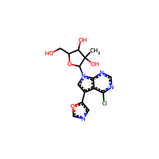 CC1(O)C(O)C(CO)OC1n1cc(-c2cnco2)c2c(Cl)ncnc21